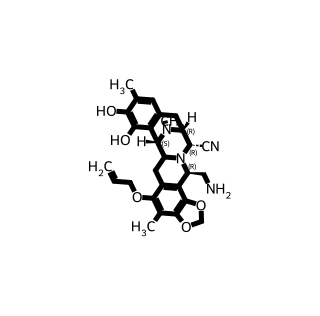 C=CCOc1c(C)c2c(c3c1CC1[C@@H]4c5c(cc(C)c(O)c5O)C[C@H]([C@H](C#N)N1[C@H]3CN)N4C)OCO2